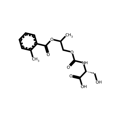 Cc1ccccc1C(=O)OC(C)COC(=O)N[C@H](CO)C(=O)O